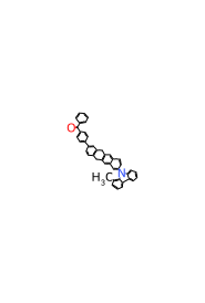 Cc1cccc2c3ccccc3n(-c3ccc4cc5c(cc4c3)Cc3ccc(-c4ccc(C(=O)c6ccccc6)cc4)cc3C5)c12